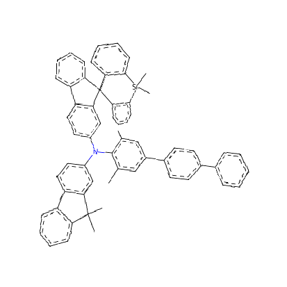 Cc1cc(-c2ccc(-c3ccccc3)cc2)cc(C)c1N(c1ccc2c(c1)C(C)(C)c1ccccc1-2)c1ccc2c(c1)C1(c3ccccc3-2)c2ccccc2[Si](C)(C)c2ccccc21